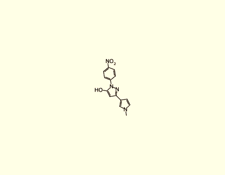 Cn1ccc(-c2cc(O)n(-c3ccc([N+](=O)[O-])cc3)n2)c1